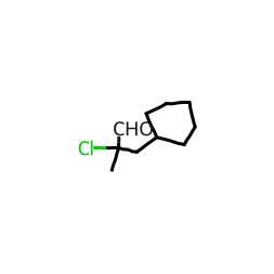 CC(Cl)(C=O)CC1CCCCC1